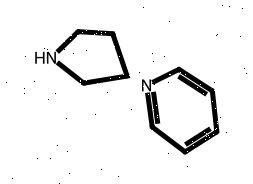 C1CCNC1.c1ccncc1